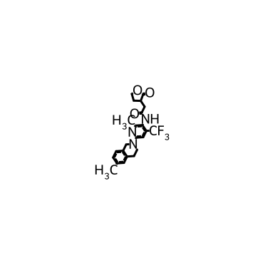 Cc1ccc2c(c1)CCN(c1cc(C(F)(F)F)c(NC(=O)CC3CCOC3=O)c(C)n1)C2